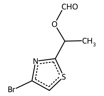 CC(OC=O)c1nc(Br)cs1